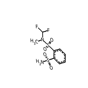 CN(C(F)F)S(=O)(=O)c1ccccc1S(N)(=O)=O